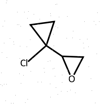 ClC1(C2CO2)CC1